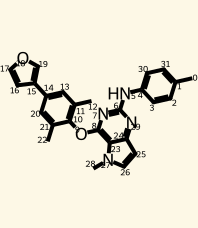 Cc1ccc(Nc2nc(Oc3c(C)cc(-c4ccoc4)cc3C)c3c(ccn3C)n2)cc1